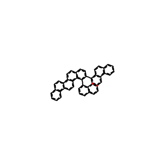 c1ccc2c(-c3c(-c4cccc5c4ccc4ccccc45)ccc4ccc5c6ccc7ccccc7c6ccc5c34)cccc2c1